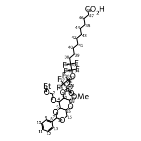 CCOCOC1C2OC(c3ccccc3)OCC2OC(OC)C1OS(=O)(=O)C(F)(F)C(F)(F)OC(F)(F)C(F)(F)CCCCCCCCCCC(=O)O